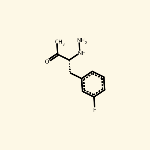 CC(=O)[C@@H](Cc1cccc(F)c1)NN